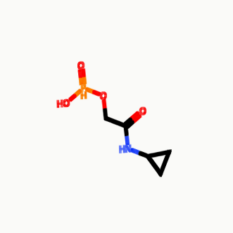 O=C(CO[PH](=O)O)NC1CC1